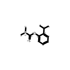 CC(C)c1ccccc1OC(=S)N(C)C